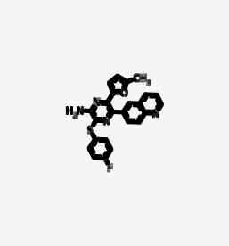 Cc1ccc(-c2nc(N)c(Sc3ccc(F)cc3)nc2-c2ccc3ncccc3c2)o1